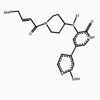 CCN(c1cc(-c2ccnc(NC)c2)c[nH]c1=O)C1CCN(C(=O)C=CCNC)CC1